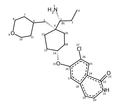 CC[C@@H](N)[C@]1(CC2CCOCC2)CC[C@@H](Oc2cc3cc[nH]c(=O)c3cc2Cl)CC1